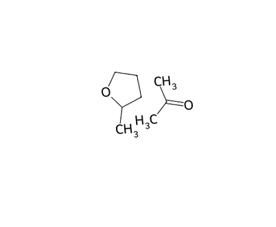 CC(C)=O.CC1CCCO1